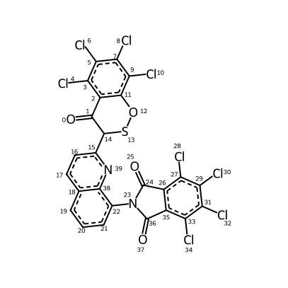 O=C1c2c(Cl)c(Cl)c(Cl)c(Cl)c2OSC1c1ccc2cccc(N3C(=O)c4c(Cl)c(Cl)c(Cl)c(Cl)c4C3=O)c2n1